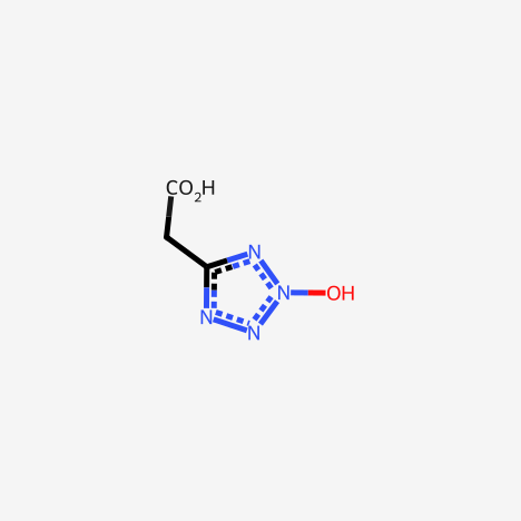 O=C(O)Cc1nnn(O)n1